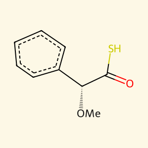 CO[C@@H](C(=O)S)c1ccccc1